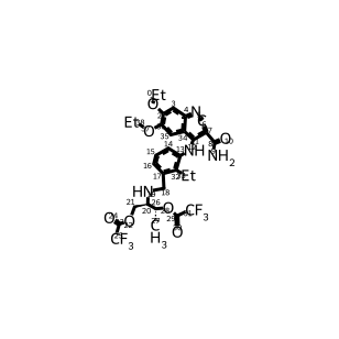 CCOc1cc2ncc(C(N)=O)c(Nc3cccc(CN[C@H](COC(=O)C(F)(F)F)[C@@H](C)OC(=O)C(F)(F)F)c3CC)c2cc1OCC